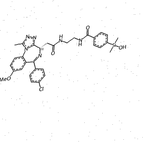 COc1ccc2c(c1)C(c1ccc(Cl)cc1)=N[C@@H](CC(=O)NCCNC(=O)c1ccc([Si](C)(C)O)cc1)c1nnc(C)n1-2